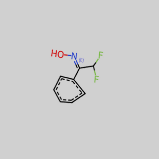 O/N=C(\c1ccccc1)C(F)F